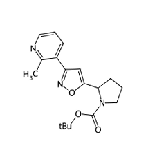 Cc1ncccc1-c1cc(C2CCCN2C(=O)OC(C)(C)C)on1